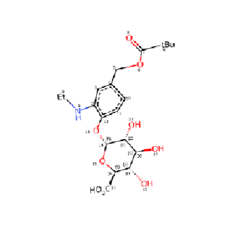 CCNc1cc(COC(=O)C(C)(C)C)ccc1O[C@H]1O[C@H](C(=O)O)[C@@H](O)[C@H](O)[C@H]1O